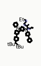 C=C/C=C(\C(C)/C=C\C=C/CC)N(c1ccc(-c2ccccc2)cc1)c1ccc2c(c1)c1cc(-c3ccc(C(CC(C)(C)C)C(C)(C)C)cc3)ccc1n2-c1ccccc1